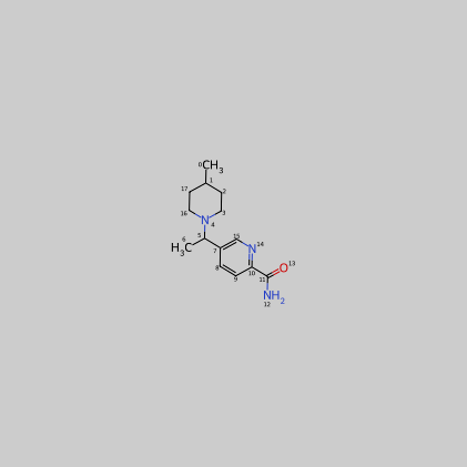 CC1CCN(C(C)c2ccc(C(N)=O)nc2)CC1